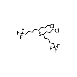 FC(F)(F)CCCCC(CCCCl)SC(CCCCl)CCCCC(F)(F)F